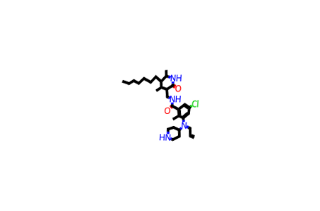 C=CCN(c1cc(Cl)cc(C(=O)NCC2C(=O)NC(C)C(CCCCCCC)C2C)c1C)C1CCNCC1